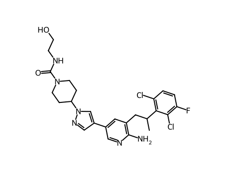 CC(Cc1cc(-c2cnn(C3CCN(C(=O)NCCO)CC3)c2)cnc1N)c1c(Cl)ccc(F)c1Cl